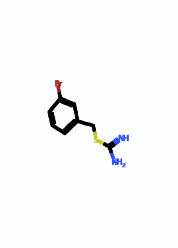 N=C(N)SCc1cccc(Br)c1